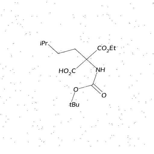 CCOC(=O)C(CCC(C)C)(NC(=O)OC(C)(C)C)C(=O)O